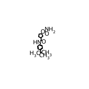 CC(C)(C)c1ccc(NC(=O)C2CCC(OC(N)=O)C2)cc1